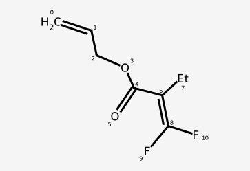 C=CCOC(=O)C(CC)=C(F)F